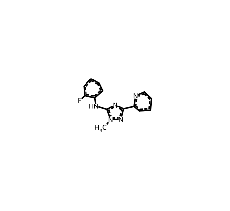 Cn1nc(-c2ccccn2)nc1Nc1ccccc1F